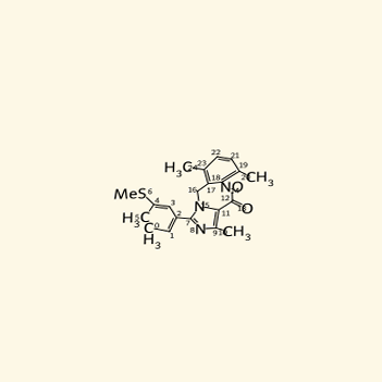 C/C=C(\C=C(/C)SC)c1nc(C)c(C(=O)N=O)n1Cc1cc(C)ccc1C